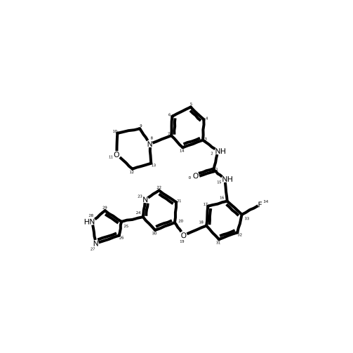 O=C(Nc1cccc(N2CCOCC2)c1)Nc1cc(Oc2ccnc(-c3cn[nH]c3)c2)ccc1F